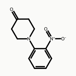 O=C1CCN(c2ccccc2[N+](=O)[O-])CC1